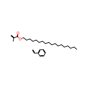 C=C(C)C(=O)OCCCCCCCCCCCCCCCCCC.C=Cc1ccccc1